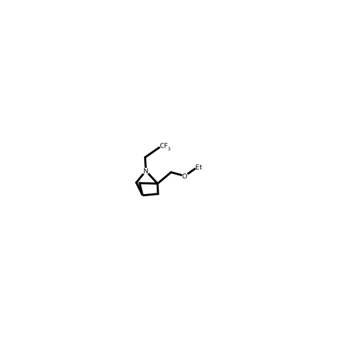 CCOCC12CC(CN1CC(F)(F)F)C2